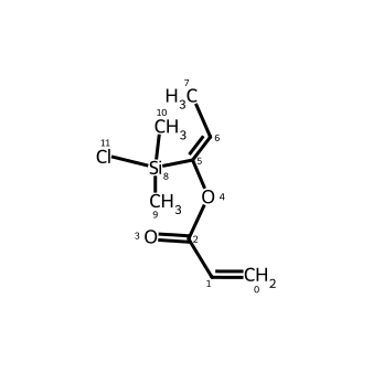 C=CC(=O)OC(=CC)[Si](C)(C)Cl